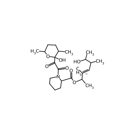 C/C(=C\C(C)C(C)O)C(C)OC(=O)C1CCCCN1C(=O)C(=O)C1(O)OC(C)CCC1C